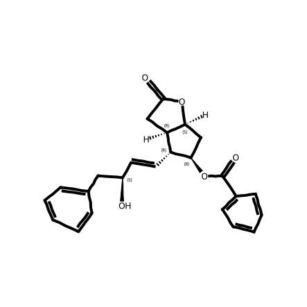 O=C1C[C@@H]2[C@@H](C=C[C@@H](O)Cc3ccccc3)[C@H](OC(=O)c3ccccc3)C[C@@H]2O1